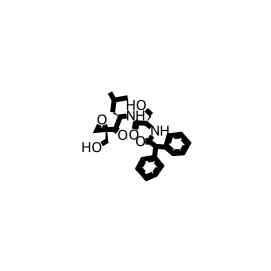 CC(C)C[C@H](NC(=O)[C@H](CO)NC(=O)C(c1ccccc1)c1ccccc1)C(=O)[C@]1(CO)CO1